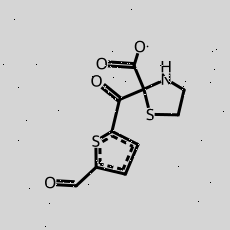 [O]C(=O)C1(C(=O)c2ccc(C=O)s2)NCCS1